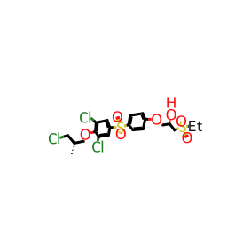 CCS(=O)(=O)C[C@@H](O)COc1ccc(S(=O)(=O)c2cc(Cl)c(OC[C@H](C)CCl)c(Cl)c2)cc1